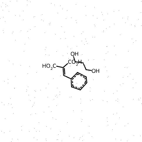 O=C(O)C(=Cc1ccccc1)C(=O)O.OCCCO